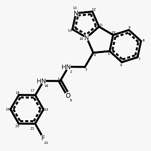 O=C(NCC1c2ccccc2-c2cncn21)Nc1cccc(F)c1